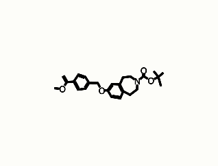 C=C(OC)c1ccc(COc2ccc3c(c2)CCN(C(=O)OC(C)(C)C)CC3)cc1